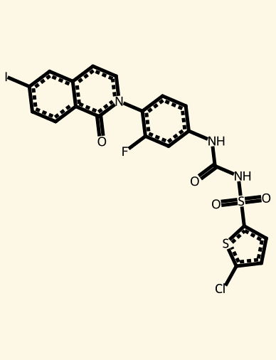 O=C(Nc1ccc(-n2ccc3cc(I)ccc3c2=O)c(F)c1)NS(=O)(=O)c1ccc(Cl)s1